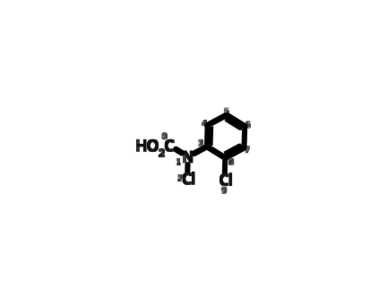 O=C(O)N(Cl)c1ccccc1Cl